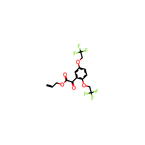 C=CCOC(=O)C(=O)c1cc(OCC(F)(F)F)ccc1OCC(F)(F)F